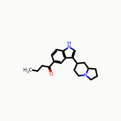 CCCC(=O)c1ccc2[nH]cc(C3CCN4CCCC4C3)c2c1